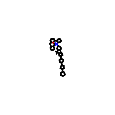 CC1(C)c2cc(-c3ccc(-c4ccc(-c5ccccc5)cc4)cc3)ccc2-c2ccc(N(c3ccccc3-c3ccccc3)c3cccc4ccccc34)cc21